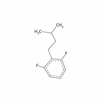 CC(C)CCc1c(F)cccc1F